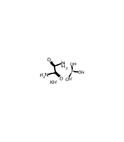 NC(=O)C(N)=O.OP(O)O.[KH]